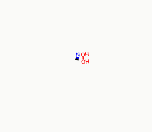 C#N.OO